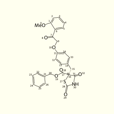 COc1ccccc1C(=O)COc1ccc(C[C@@]2(C(=O)OCc3ccccc3)SC(=O)NC2=O)cc1